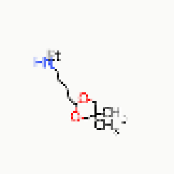 CCNCCCCC1OCC(C)(C)CO1